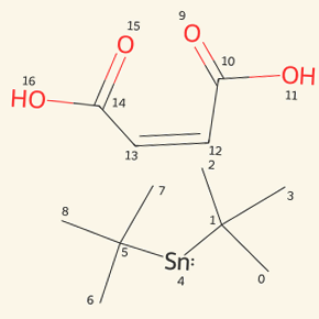 C[C](C)(C)[Sn][C](C)(C)C.O=C(O)/C=C\C(=O)O